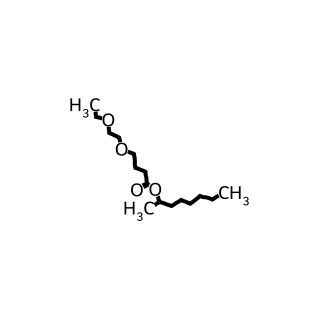 CCCCCCC(C)OC(=O)CCCOCCOCC